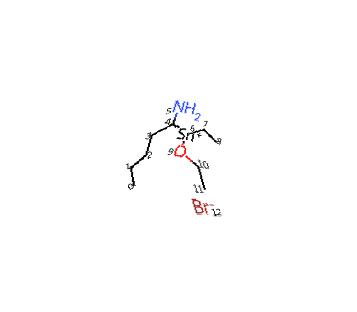 CCCC[CH](N)[Sn+]([CH2]C)[O]CC.[Br-]